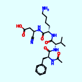 CC(=O)N[C@@H](Cc1ccccc1)C(=O)N[C@H](C(=O)N[C@@H](CCCCN)C(=O)NC(C#N)CC(=O)O)C(C)C